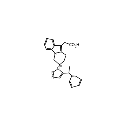 CC(c1ccccc1)c1cnnn1[C@@H]1CCc2c(CC(=O)O)c3ccccc3n2C1